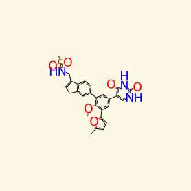 COc1c(-c2ccc3c(c2)CC=C3CNS(C)(=O)=O)cc(-c2c[nH]c(=O)[nH]c2=O)cc1-c1ccc(C)o1